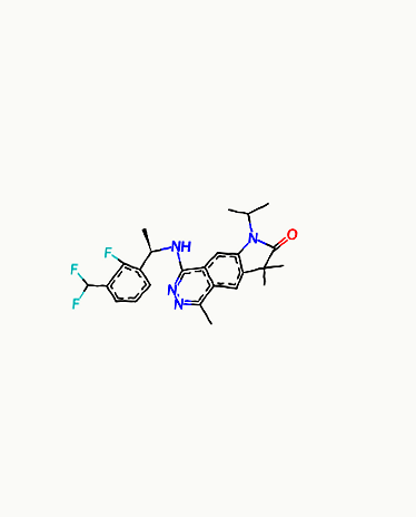 Cc1nnc(N[C@H](C)c2cccc(C(F)F)c2F)c2cc3c(cc12)C(C)(C)C(=O)N3C(C)C